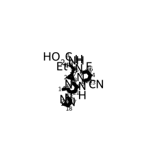 CC[C@H](NC(=O)O)[C@H](Nc1nc(Nc2cnc(C)c(-n3nccn3)c2)c(C#N)cc1F)C1CC1